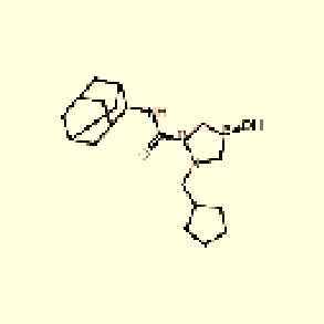 O=C(NC1C2CC3CC(C2)CC1C3)[C@H]1C[C@@H](O)CN1CC1CCCC1